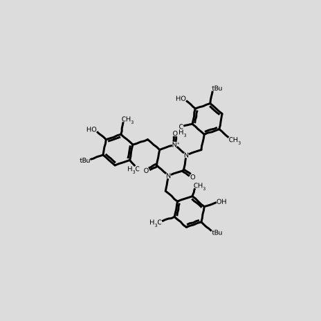 Cc1cc(C(C)(C)C)c(O)c(C)c1CC1C(=O)N(Cc2c(C)cc(C(C)(C)C)c(O)c2C)C(=O)N(Cc2c(C)cc(C(C)(C)C)c(O)c2C)[N+]1=O